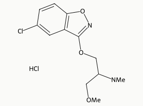 CNC(COC)COc1noc2ccc(Cl)cc12.Cl